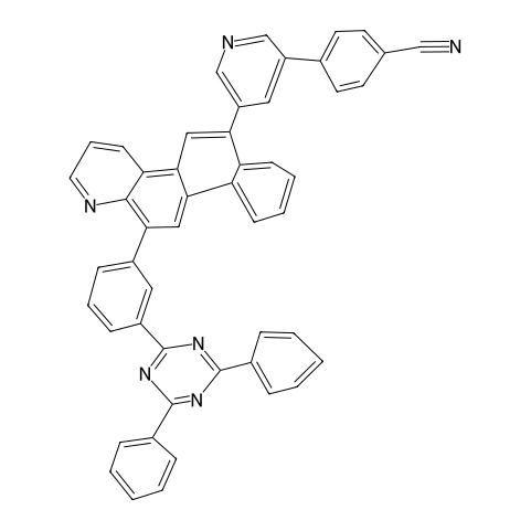 N#Cc1ccc(-c2cncc(-c3cc4c5cccnc5c(-c5cccc(-c6nc(-c7ccccc7)nc(-c7ccccc7)n6)c5)cc4c4ccccc34)c2)cc1